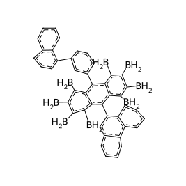 Bc1c(B)c(B)c2c(-c3cc4ccccc4c4ccccc34)c3c(B)c(B)c(B)c(B)c3c(-c3cccc(-c4cccc5ccccc45)c3)c2c1B